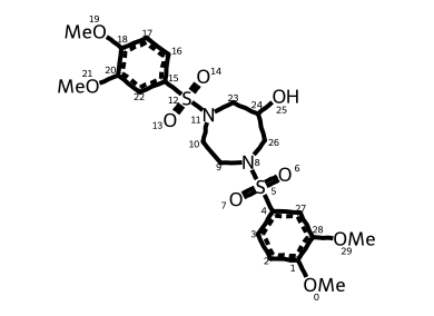 COc1ccc(S(=O)(=O)N2CCN(S(=O)(=O)c3ccc(OC)c(OC)c3)CC(O)C2)cc1OC